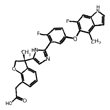 Cc1c(Oc2ccc(F)c(-c3ncc([C@@]4(C)COc5c(CC(=O)O)cccc54)[nH]3)c2)c(F)cc2[nH]ccc12